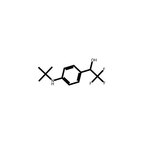 CC(C)(C)Nc1ccc(C(O)C(F)(F)F)cc1